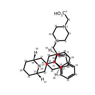 O=C(O)CN1CCN(Cc2nc3ccccc3n2C2C[C@H]3CCC[C@@H](C2)N3[C@H]2C[C@@H]3CCC[C@@H](C3)C2)CC1